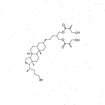 C=C(CO)C(=O)OCC(CCC[C@H]1CC[C@@]2(C)C(CC[C@@H]3C2CC[C@@]2(C)C3CC[C@@H]2[C@H](C)CCCC(C)C)C1)COC(=O)C(=C)CO